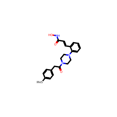 CSc1ccc(CC(=O)N2CCN(c3ccccc3C=CC(=O)NO)CC2)cc1